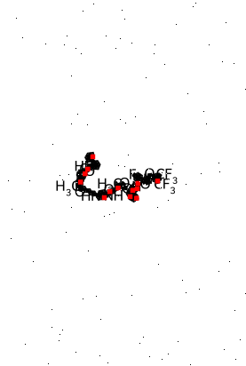 CN(CCN1CCC(OC(=O)Nc2ccccc2-c2ccccc2)CC1)C(=O)CCCCCNc1ccc(NC(=O)CCCN(C)C(=O)CO[C@H]2Cc3ccccc3C23CCN(CC[C@]2(c4ccc(F)cc4)CN(C(=O)c4cc(C(F)(F)F)cc(C(F)(F)F)c4)CO2)CC3)cc1